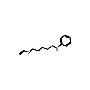 C=COCCCCO[SiH2]c1ccccc1